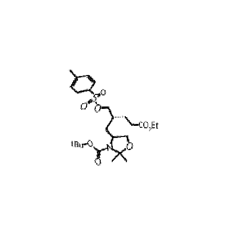 CCOC(=O)CC[C@@H](COS(=O)(=O)c1ccc(C)cc1)CC1COC(C)(C)N1C(=O)OC(C)(C)C